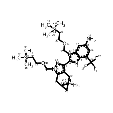 C[C@@]12Cc3c(c(-c4nc5c(C(F)(F)F)cc(N)cc5n4COCC[Si](C)(C)C)nn3COCC[Si](C)(C)C)C[C@@H]1C2